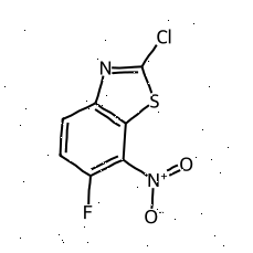 O=[N+]([O-])c1c(F)ccc2nc(Cl)sc12